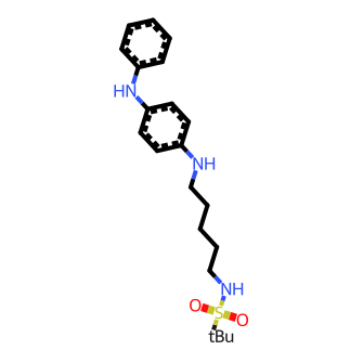 CC(C)(C)S(=O)(=O)NCCCCCNc1ccc(Nc2ccccc2)cc1